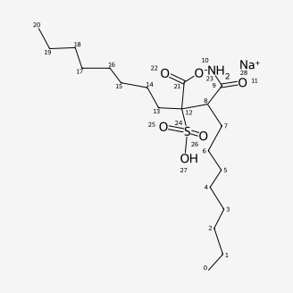 CCCCCCCCC(C(N)=O)C(CCCCCCCC)(C(=O)[O-])S(=O)(=O)O.[Na+]